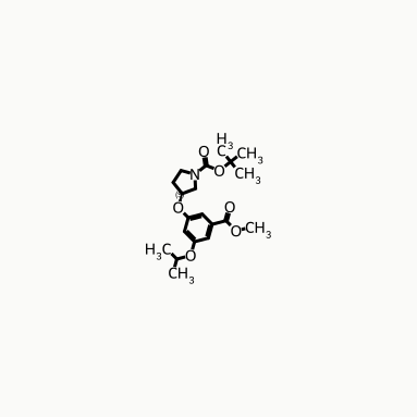 COC(=O)c1cc(OC(C)C)cc(O[C@H]2CCN(C(=O)OC(C)(C)C)C2)c1